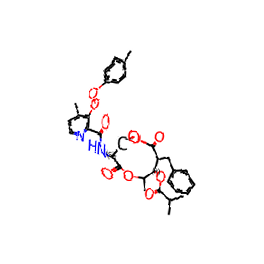 Cc1ccc(OOc2c(C)ccnc2C(=O)N[C@H]2COC(=O)C(Cc3ccccc3)[C@@H](OC(=O)C(C)C)C(C)OC2=O)cc1